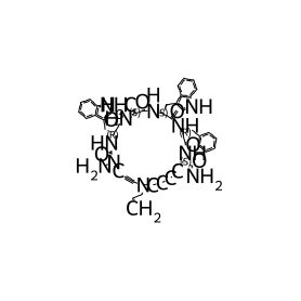 C=CCN1C#CCN(N)C(=O)N[C@H](Cc2c[nH]c3ccccc23)C(=O)N[C@@H](C)C(=O)N[C@@H](Cc2c[nH]c3ccccc23)C(=O)N[C@H](Cc2ccccc2)C(=O)N[C@H](C(N)=O)CCCC1